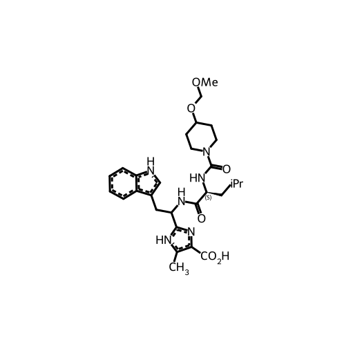 COCOC1CCN(C(=O)N[C@@H](CC(C)C)C(=O)NC(Cc2c[nH]c3ccccc23)c2nc(C(=O)O)c(C)[nH]2)CC1